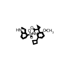 COc1ccc(C2CCC2)cc1C1(C(=O)NS(=O)(=O)c2cccc3[nH]ccc23)CC1